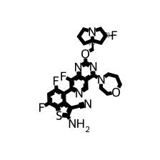 N#Cc1c(N)sc2c(F)cc(F)c(-c3ncc4c(N5CCCOCC5)nc(OC[C@@]56CCCN5C[C@H](F)C6)nc4c3F)c12